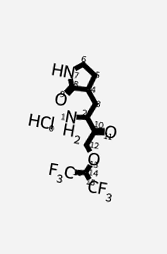 Cl.NC(CC1CCNC1=O)C(=O)COC(C(F)(F)F)C(F)(F)F